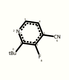 CC(C)(C)c1nccc(C#N)c1F